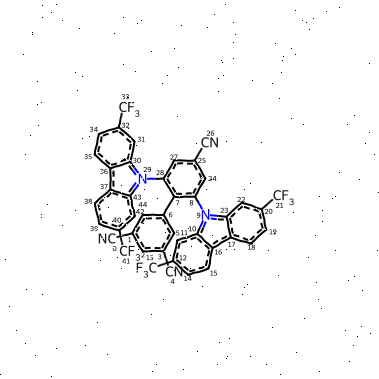 N#Cc1cc(C#N)cc(-c2c(-n3c4cc(C(F)(F)F)ccc4c4ccc(C(F)(F)F)cc43)cc(C#N)cc2-n2c3cc(C(F)(F)F)ccc3c3ccc(C(F)(F)F)cc32)c1